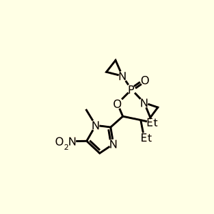 CCC(CC)C(OP(=O)(N1CC1)N1CC1)c1ncc([N+](=O)[O-])n1C